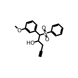 C#CCC(O)C(c1cccc(OC)c1)S(=O)(=O)c1ccccc1